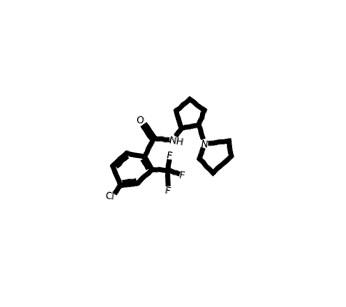 O=C(NC1CCCC1N1CCCC1)c1ccc(Cl)cc1C(F)(F)F